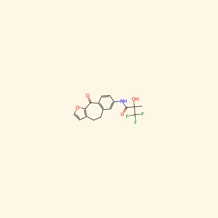 CC(O)(C(=O)Nc1ccc2c(c1)CCc1ccoc1C2=O)C(F)(F)F